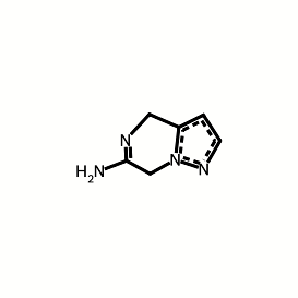 NC1=NCc2ccnn2C1